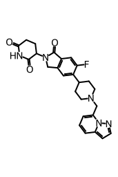 O=C1CCC(N2Cc3cc(C4CCN(Cc5cccc6ccnn56)CC4)c(F)cc3C2=O)C(=O)N1